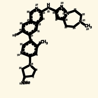 CNC1CCN(c2cc(C)c(-c3cc4cc(Nc5cc6n(n5)CCN(C)CC6)ncc4cc3F)cn2)C1